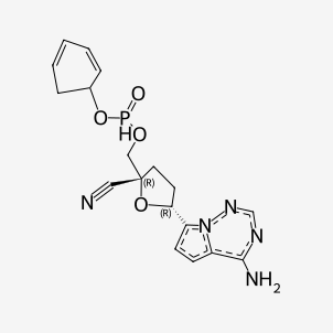 N#C[C@@]1(CO[PH](=O)OC2C=CC=CC2)CC[C@H](c2ccc3c(N)ncnn23)O1